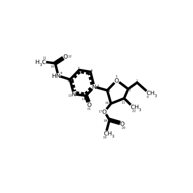 CCC1OC(n2ccc(NC(C)=O)nc2=O)C(OC(C)=O)C1C